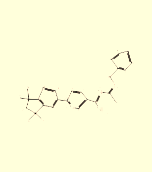 CC(=N/Cc1ccccc1)/N=C(\N)c1ccc(-c2ccc3c(c2)C(C)(C)CC3(C)C)nc1